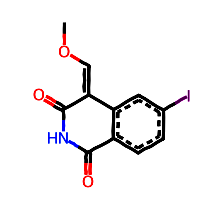 CO/C=C1\C(=O)NC(=O)c2ccc(I)cc21